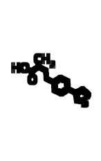 C=C(CCc1ccc(-c2ccsc2)cc1)C(=O)O